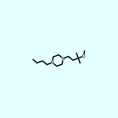 CCCCN1CCN(CCC(C)(C)OC)CC1